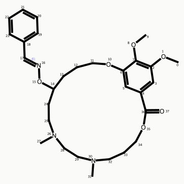 COc1cc2cc(c1OC)OCCCC(O/N=C/c1ccccc1)CCN(C)CCN(C)CCCOC2=O